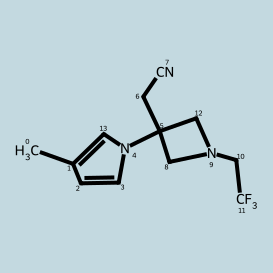 Cc1ccn(C2(CC#N)CN(CC(F)(F)F)C2)c1